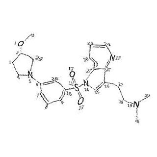 CO[C@H]1CCN(c2cccc(S(=O)(=O)n3cc(CCN(C)C)c4ncccc43)c2)C1